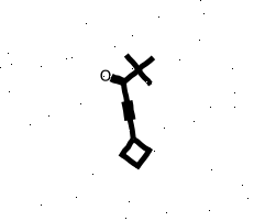 CC(C)(C)C(=O)C#CC1CCC1